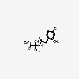 COC(=O)C(C)(C)NC(=O)Cc1ccc(Cl)cc1C